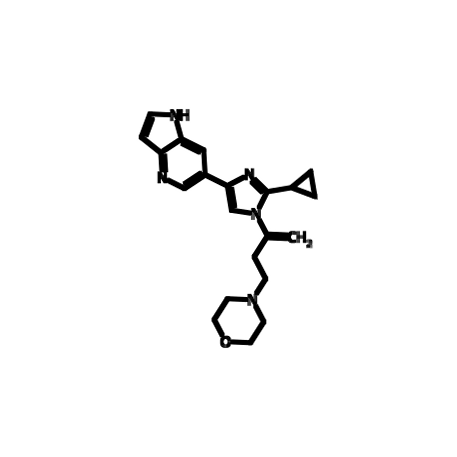 C=C(CCN1CCOCC1)n1cc(-c2cnc3cc[nH]c3c2)nc1C1CC1